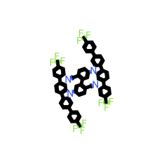 N#Cc1ccc(-n2c3cc(-c4ccc(C(F)(F)F)cc4)ccc3c3ccc(-c4ccc(C(F)(F)F)cc4)cc32)cc1-c1cc(-n2c3cc(-c4ccc(C(F)(F)F)cc4)ccc3c3ccc(-c4ccc(C(F)(F)F)cc4)cc32)ccc1C#N